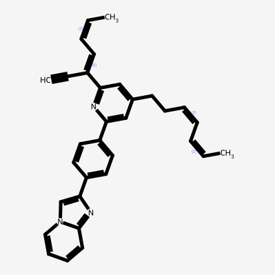 C#C/C(=C\C=C/C)c1cc(CC/C=C\C=C/C)cc(-c2ccc(-c3cn4ccccc4n3)cc2)n1